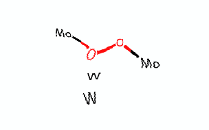 [Mo][O][O][Mo].[W].[W]